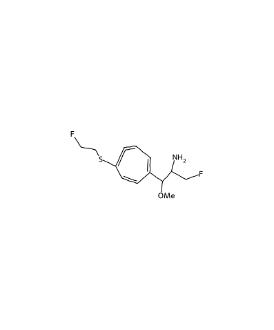 COC(C1=CC=C=C(SCCF)C=C1)C(N)CF